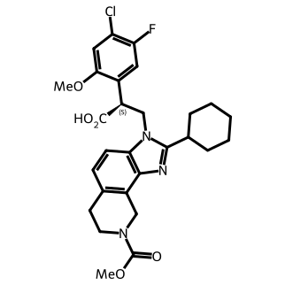 COC(=O)N1CCc2ccc3c(nc(C4CCCCC4)n3C[C@@H](C(=O)O)c3cc(F)c(Cl)cc3OC)c2C1